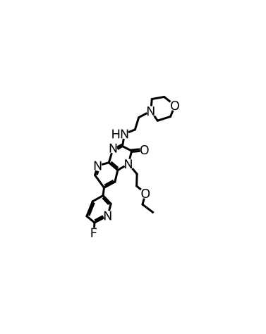 CCOCCn1c(=O)c(NCCN2CCOCC2)nc2ncc(-c3ccc(F)nc3)cc21